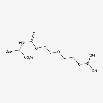 CCC(C)C(NC(=O)OCCOCCON(O)O)C(=O)O